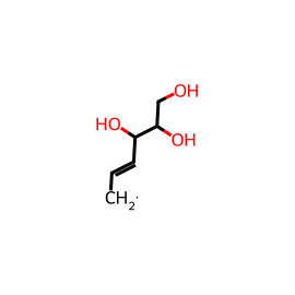 [CH2]C=CC(O)C(O)CO